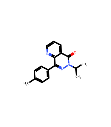 Cc1ccc(-c2nn(C(C)C)c(=O)c3cccnc23)cc1